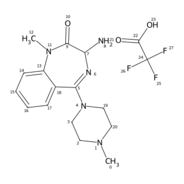 CN1CCN(C2=NC(N)C(=O)N(C)c3ccccc32)CC1.O=C(O)C(F)(F)F